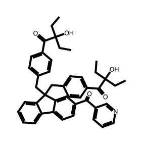 CCC(O)(CC)C(=O)c1ccc(CC2(Cc3ccc(C(=O)C(O)(CC)CC)cc3)c3ccccc3-c3ccc(C(=O)c4cccnc4)cc32)cc1